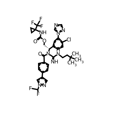 CC(C)(C)CCNC(=N)N(C(=O)c1ccc(-c2cnn(C(F)F)c2)cc1)[C@H](COC(=O)NC1(C(F)(F)F)CC1)c1ccc(Cl)c(-n2cncn2)c1